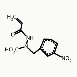 C=CC(=O)NN(Cc1cccc([N+](=O)[O-])c1)C(=O)O